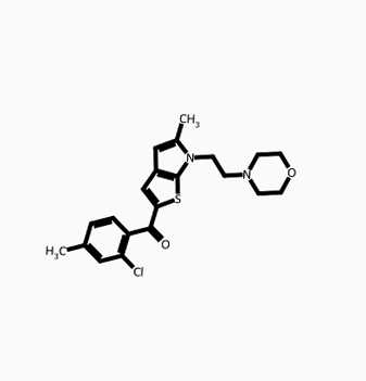 Cc1ccc(C(=O)c2cc3cc(C)n(CCN4CCOCC4)c3s2)c(Cl)c1